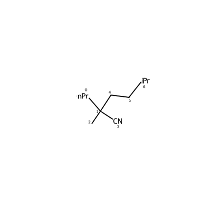 CC[CH]C(C)(C#N)CCC(C)C